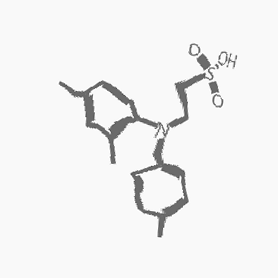 Cc1ccc(N(CCS(=O)(=O)O)c2ccc(C)cc2C)cc1